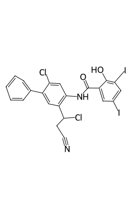 N#CCC(Cl)c1cc(-c2ccccc2)c(Cl)cc1NC(=O)c1cc(I)cc(I)c1O